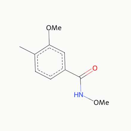 CONC(=O)c1ccc(C)c(OC)c1